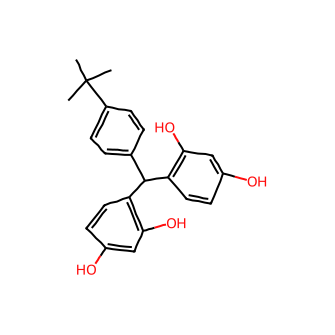 CC(C)(C)c1ccc(C(c2ccc(O)cc2O)c2ccc(O)cc2O)cc1